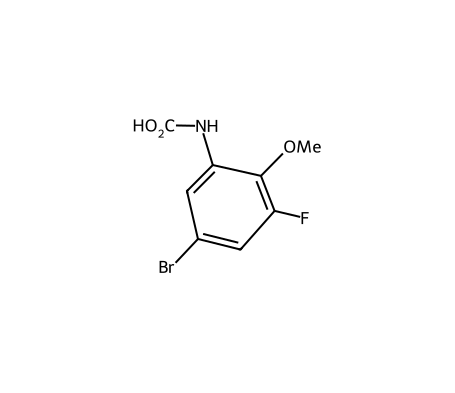 COc1c(F)cc(Br)cc1NC(=O)O